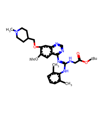 COc1cc2c(/N=C(\NCC(=O)OC(C)(C)C)Nc3c(C)cccc3C)ncnc2cc1OCC1CCN(C)CC1